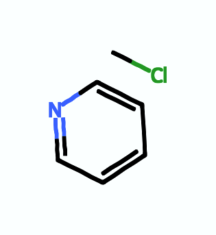 CCl.c1ccncc1